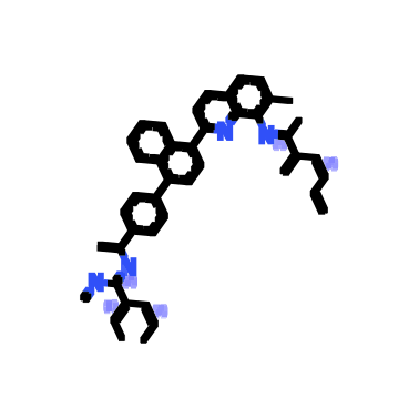 C=C/C=C\C(=C)/C(C)=N/c1c(C)ccc2ccc(-c3ccc(-c4ccc(C(=C)/N=C(N=C)/C(/C=C\C)=C/C)cc4)c4ccccc34)nc12